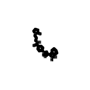 O=C(NCCCN1CCCC1=O)c1ccc(-n2cc(C3NNc4ccccc43)nn2)cc1